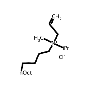 C=CC[N+](C)(CCCCCCCCCCCC)C(C)C.[Cl-]